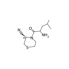 CC(C)CC(N)C(=O)N1CCSC[C@H]1C#N